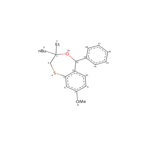 CCCCC1(CC)CSc2cc(OC)ccc2C(c2ccccc2)O1